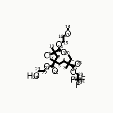 CCC(C)(CCC(C)(CC(C)(Cl)C(=O)OCCOC)C(=O)OCCO)C(=O)OCC(F)(F)F